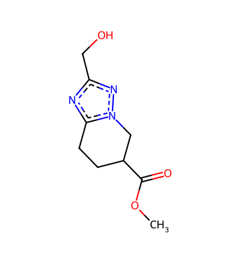 COC(=O)C1CCc2nc(CO)nn2C1